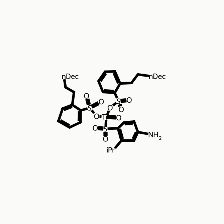 CCCCCCCCCCCCc1ccccc1S(=O)(=O)[O][Ti](=[O])([O]S(=O)(=O)c1ccccc1CCCCCCCCCCCC)[S](=O)(=O)c1ccc(N)cc1C(C)C